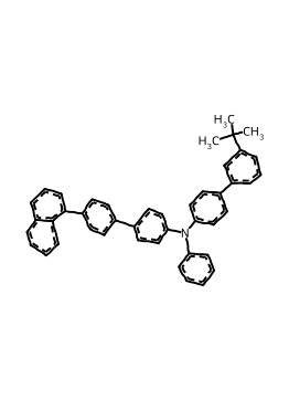 CC(C)(C)c1cccc(-c2ccc(N(c3ccccc3)c3ccc(-c4ccc(-c5cccc6ccccc56)cc4)cc3)cc2)c1